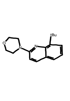 CC(C)(C)c1cccc2ccc(N3CCOCC3)nc12